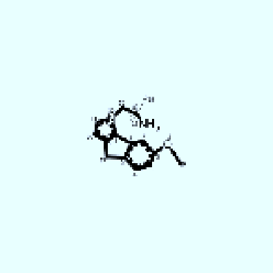 COc1ccc2c(c1)-c1c(ccn1C[C@H](C)N)C2